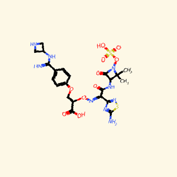 CC1(C)C(NC(=O)C(=NOC(COc2ccc(C(=N)NC3CNC3)cc2)C(=O)O)c2nsc(N)n2)C(=O)N1OS(=O)(=O)O